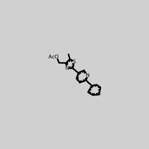 CC(=O)OCc1nc(-c2ccc(-c3ccccc3)nc2)sc1C